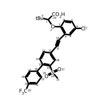 CC(C)(C)C(Oc1ccc(Cl)cc1C#Cc1ccc(-c2ccc(C(F)(F)F)cc2)c(S(C)(=O)=O)c1)C(=O)O